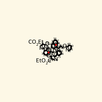 CCOC(=O)c1cncn(C(C(=O)O)(c2ccccc2)N(C(=O)Cn2c(-c3ccccc3)ncc(C(=O)OCC)c2=O)C(Cc2ccccc2)C(O)C(=O)CCCOc2ccccn2)c1=O